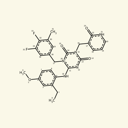 CCc1cc(OC)ccc1Nc1nc(=O)n(Cc2ccc[nH]c2=O)c(=O)n1Cc1cc(C)c(F)c(F)c1